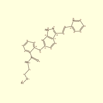 CCOCCNC(=O)c1ccccc1Sc1ccc2c(/C=C/c3ccccn3)n[nH]c2c1